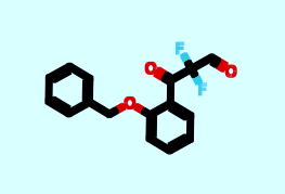 O=CC(F)(F)C(=O)c1ccccc1OCc1ccccc1